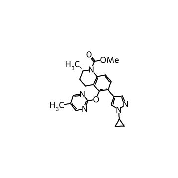 COC(=O)N1c2ccc(-c3cnn(C4CC4)c3)c(Oc3ncc(C)cn3)c2CC[C@@H]1C